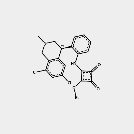 CCOc1c(Nc2ccccc2[C@@H]2CN(C)Cc3c(Cl)cc(Cl)cc32)c(=O)c1=O